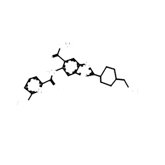 COC(=O)c1cc2nc(C3CCC(CO)CC3)oc2cc1NC(=O)c1cccc(C(F)(F)F)n1